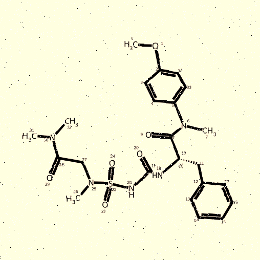 COc1ccc(N(C)C(=O)[C@H](Cc2ccccc2)NC(=O)NS(=O)(=O)N(C)CC(=O)N(C)C)cc1